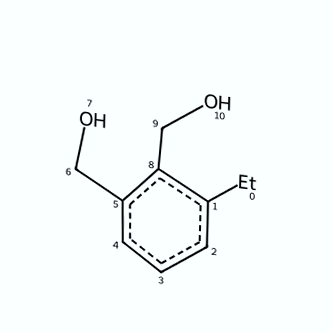 [CH2]Cc1cccc(CO)c1CO